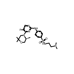 C[C@H]1COC(C)(C)CN1c1nc(Nc2ccc(S(=O)(=O)NCCN(C)C)cc2)ncc1F